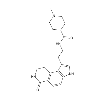 CN1CCC(C(=O)NCCc2c[nH]c3ccc4c(c23)CCNC4=O)CC1